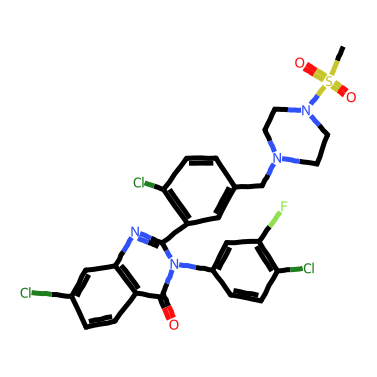 CS(=O)(=O)N1CCN(Cc2ccc(Cl)c(-c3nc4cc(Cl)ccc4c(=O)n3-c3ccc(Cl)c(F)c3)c2)CC1